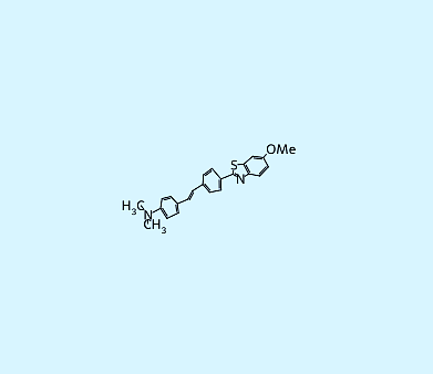 COc1ccc2nc(-c3ccc(/C=C/c4ccc(N(C)C)cc4)cc3)sc2c1